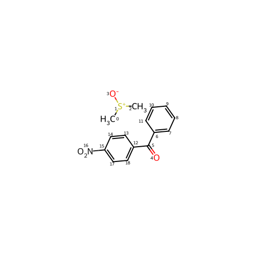 C[S+](C)[O-].O=C(c1ccccc1)c1ccc([N+](=O)[O-])cc1